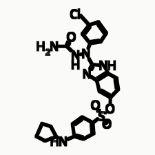 NC(=O)NN(c1cccc(Cl)c1)c1nc2cc(OS(=O)(=O)c3ccc(NC4CCCC4)cc3)ccc2[nH]1